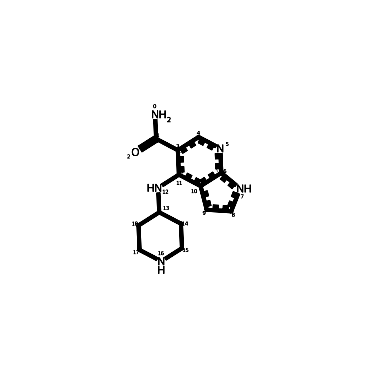 NC(=O)c1cnc2[nH]ccc2c1NC1CCNCC1